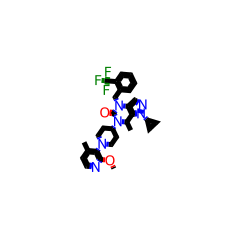 COc1nccc(C)c1N1CCC(N2C(=O)N(Cc3ccccc3C(F)(F)F)c3cnn(C4CC4)c3C2C)CC1